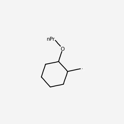 [CH2]C1CCCCC1OCCC